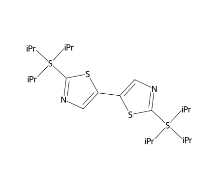 CC(C)S(c1ncc(-c2cnc(S(C(C)C)(C(C)C)C(C)C)s2)s1)(C(C)C)C(C)C